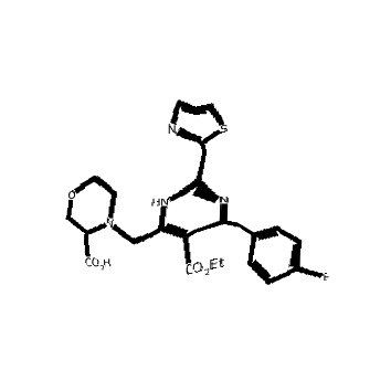 CCOC(=O)C1=C(CN2CCOCC2C(=O)O)NC(c2nccs2)=NC1c1ccc(F)cc1